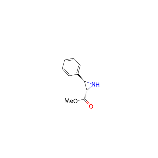 COC(=O)[C@H]1N[C@@H]1c1ccccc1